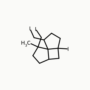 CC1(CI)CCC2CC3(I)CCC(CI)C213